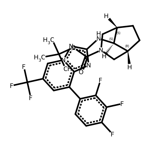 CC(C)(C)OC(=O)N1C[C@H]2CC[C@@H](C1)[C@@H]2Nc1nc2c(-c3ccc(F)c(F)c3F)cc(C(F)(F)F)cn2n1